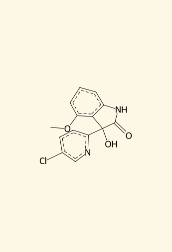 COc1cccc2c1C(O)(c1ccc(Cl)cn1)C(=O)N2